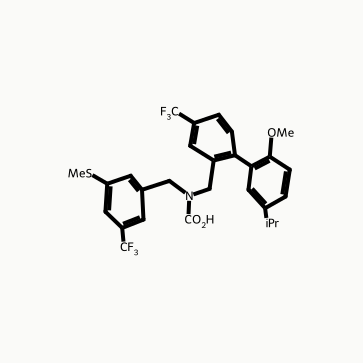 COc1ccc(C(C)C)cc1-c1ccc(C(F)(F)F)cc1CN(Cc1cc(SC)cc(C(F)(F)F)c1)C(=O)O